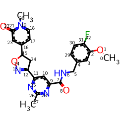 COc1cc(CNC(=O)c2cc(C3=NOC(c4ccn(C)c(=O)c4)C3)nc(C)n2)ccc1F